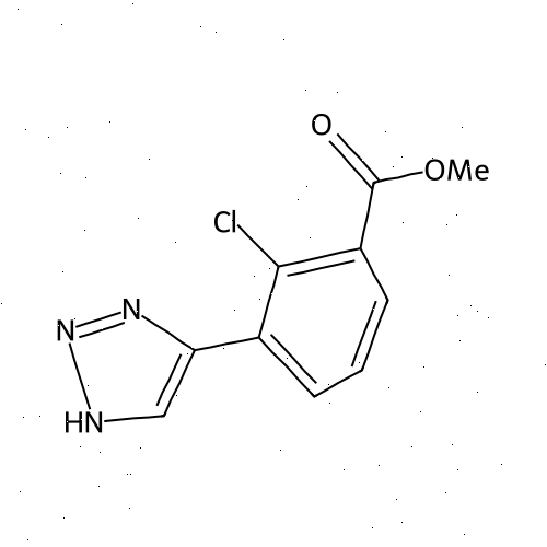 COC(=O)c1cccc(-c2c[nH]nn2)c1Cl